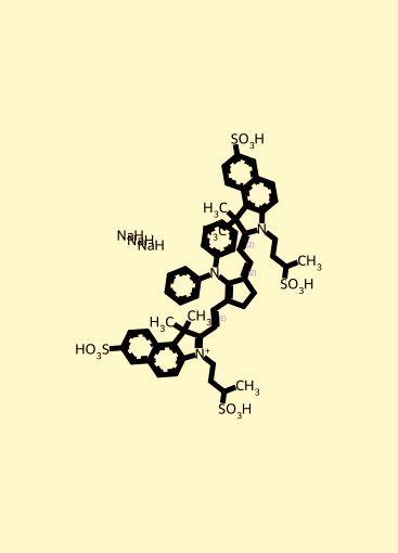 CC(CCN1/C(=C\C=C2\CCC(/C=C/C3=[N+](CCC(C)S(=O)(=O)O)c4ccc5cc(S(=O)(=O)O)ccc5c4C3(C)C)=C2N(c2ccccc2)c2ccccc2)C(C)(C)c2c1ccc1cc(S(=O)(=O)O)ccc21)S(=O)(=O)O.[NaH].[NaH].[NaH]